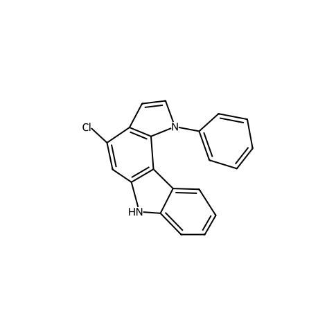 Clc1cc2[nH]c3ccccc3c2c2c1ccn2-c1ccccc1